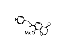 COc1c(OCc2ccncc2)ccc2c1OCCC2=O